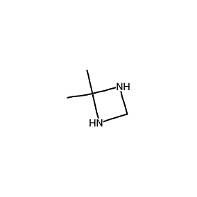 CC1(C)NCN1